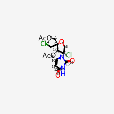 CC(=O)OC[C@@]1(CCl)OC[C@@](Cl)(n2ccc(=O)[nH]c2=O)[C@@H]1OC(C)=O